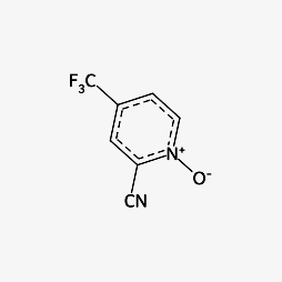 N#Cc1cc(C(F)(F)F)cc[n+]1[O-]